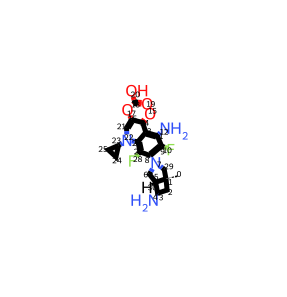 C[C@]12C[C@H](N)[C@@H]1CN(c1c(F)c(N)c3c(=O)c(OC(=O)O)cn(C4CC4)c3c1F)C2